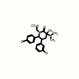 CN(C)C1(C)CC(c2cccc(Cl)c2)C(c2ccc(Cl)cc2)N(CC(=O)O)C1=O